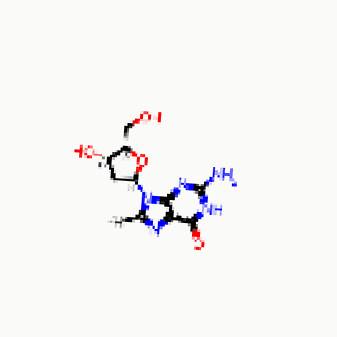 [2H]c1nc2c(=O)[nH]c(N)nc2n1[C@H]1C[C@H](O)[C@@H](CO)O1